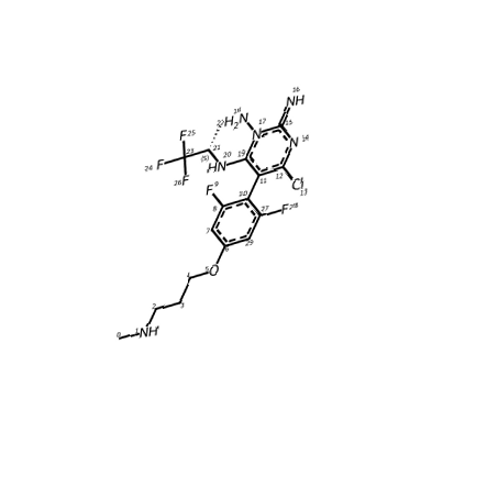 CNCCCOc1cc(F)c(-c2c(Cl)nc(=N)n(N)c2N[C@@H](C)C(F)(F)F)c(F)c1